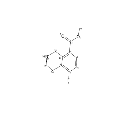 COC(=O)c1ccc(F)c2c1CNCC2